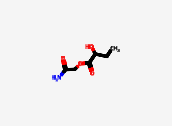 CCC(O)C(=O)OCC(N)=O